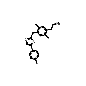 Cc1ccc(-c2csc(Cc3cc(C)c(CCBr)cc3C)n2)cc1